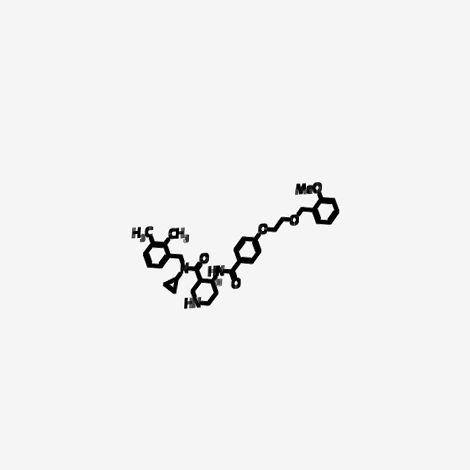 COc1ccccc1COCCOc1ccc(C(=O)N[C@H]2CCNCC2C(=O)N(Cc2cccc(C)c2C)C2CC2)cc1